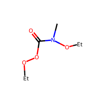 CCOOC(=O)N(C)OCC